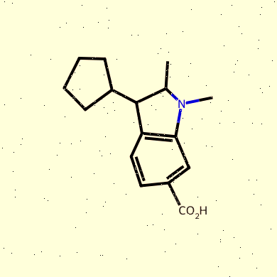 CC1C(C2CCCC2)c2ccc(C(=O)O)cc2N1C